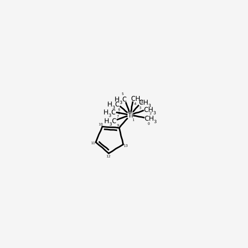 [CH3][Ti]([CH3])([CH3])([CH3])([CH3])([CH3])([CH3])([CH3])[C]1=CC=CC1